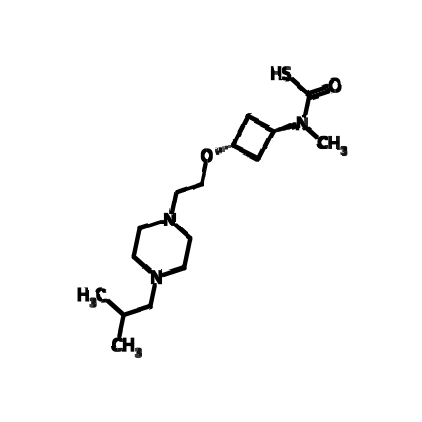 CC(C)CN1CCN(CCO[C@H]2C[C@H](N(C)C(=O)S)C2)CC1